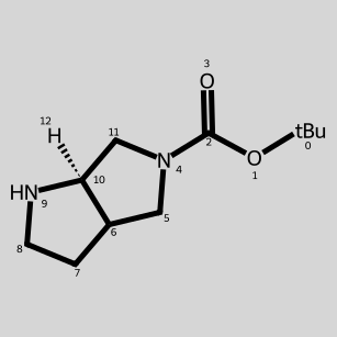 CC(C)(C)OC(=O)N1CC2CCN[C@H]2C1